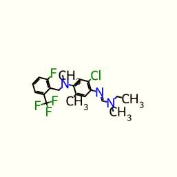 CCN(C)C=Nc1cc(C)c(N(C)Cc2c(F)cccc2C(F)(F)F)cc1Cl